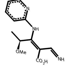 CO[C@@H](C)/C(Nc1ccccn1)=C(/C=N)C(=O)O